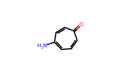 Nc1cccc(=O)cc1